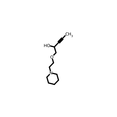 CC#CC(O)COCCN1CCCCC1